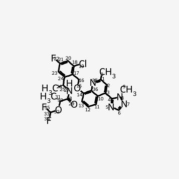 Cc1cc(-c2ncnn2C)c2cccc(OCc3c(Cl)cc(F)cc3[C@H](C)NC(=O)[C@@H](C)OC(F)F)c2n1